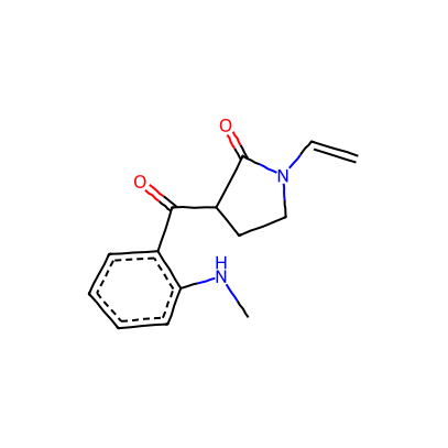 C=CN1CCC(C(=O)c2ccccc2NC)C1=O